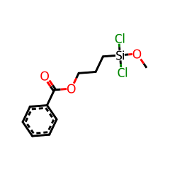 CO[Si](Cl)(Cl)CCCOC(=O)c1ccccc1